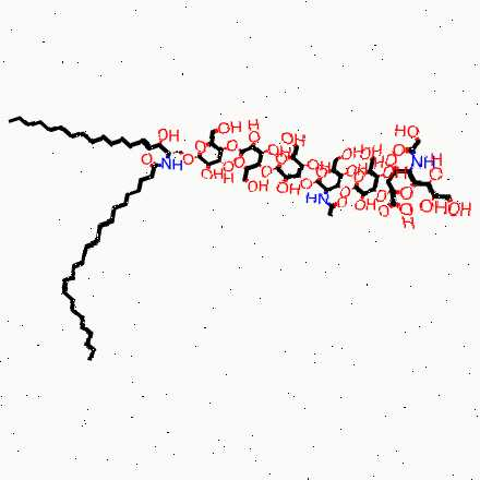 CCCCCCCC/C=C\CCCCCCCCCCCCCC(=O)N[C@@H](CO[C@@H]1OC(CO)[C@@H](O[C@@H]2OC(CO)[C@H](O[C@@H]3OC(CO)[C@H](O)[C@H](O[C@@H]4OC(CO)[C@H](O)[C@H](O[C@@H]5OC(CO)[C@H](O)[C@H](O[C@]6(C(=O)O)CC(O)[C@@H](NC(=O)CO)C([C@H](O)[C@H](O)CO)O6)C5O)C4NC(C)=O)C3O)[C@H](O)C2O)[C@H](O)C1O)[C@H](O)/C=C/CCCCCCCCCCCCC